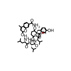 CC(C)C[C@H](NC(=O)[C@@H](N)CC(C)C)C(=O)N[C@H](C(=O)N1C(=O)CCC(=O)[C@]1(Cc1ccc(O)cc1)C(=O)O)C(C)C.Cc1cc(=O)oc2cc(C(N)=O)ccc12